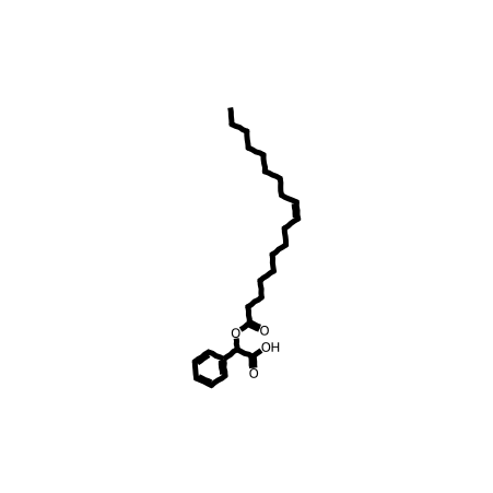 CCCCCCCC/C=C\CCCCCCCC(=O)OC(C(=O)O)c1ccccc1